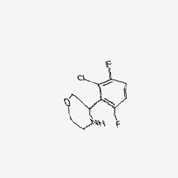 Fc1ccc(F)c(C2COCCN2)c1Cl